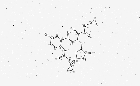 C[C@@H]1C[C@@H](C[C@H](NC(=O)c2cc(Cl)ccc2NC(=O)C2CC23CC3)C(=O)C(=O)NC2CC2)C(=O)N1